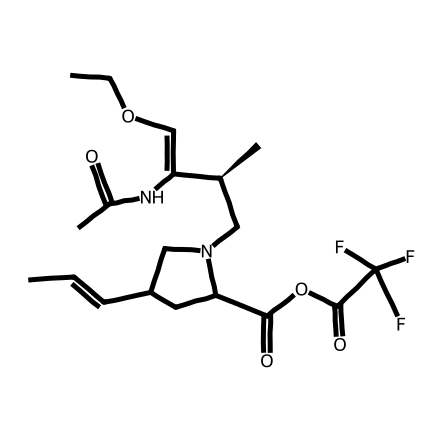 CC=CC1CC(C(=O)OC(=O)C(F)(F)F)N(C[C@H](C)C(=COCC)NC(C)=O)C1